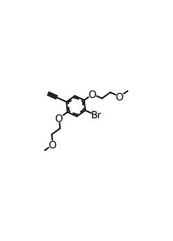 C#Cc1cc(OCCOC)c(Br)cc1OCCOC